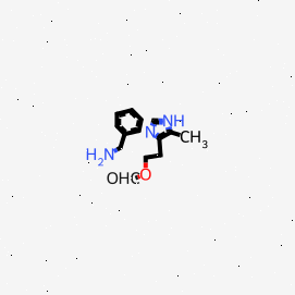 Cc1[nH]cnc1CCOC=O.NCc1ccccc1